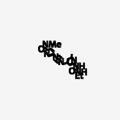 CCNC(=O)Nc1cc(CN2CCN(c3ccc(C(=O)NC)nc3)CC2)cc(C)n1